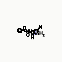 C=C(C#N)/C=c1/cc(C(=O)NCC(=O)c2ccccc2)[nH]/c1=C/N